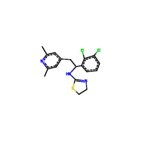 Cc1cc(CC(NC2=NCCS2)c2cccc(Cl)c2Cl)cc(C)n1